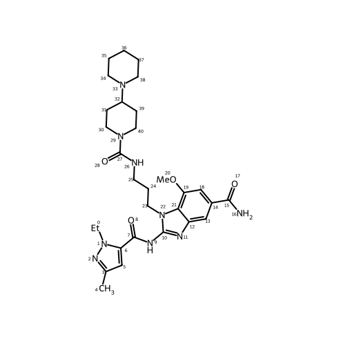 CCn1nc(C)cc1C(=O)Nc1nc2cc(C(N)=O)cc(OC)c2n1CCCNC(=O)N1CCC(N2CCCCC2)CC1